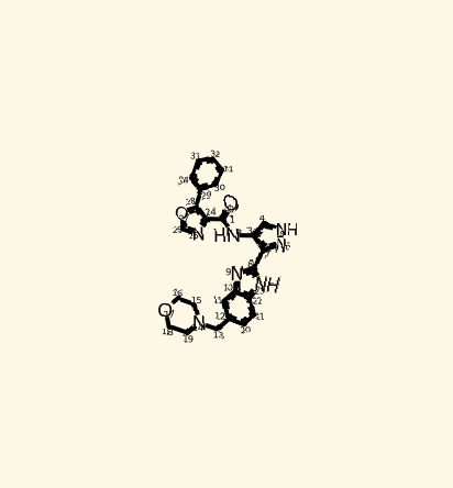 O=C(Nc1c[nH]nc1-c1nc2cc(CN3CCOCC3)ccc2[nH]1)c1ncoc1-c1ccccc1